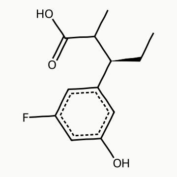 CC[C@@H](c1cc(O)cc(F)c1)C(C)C(=O)O